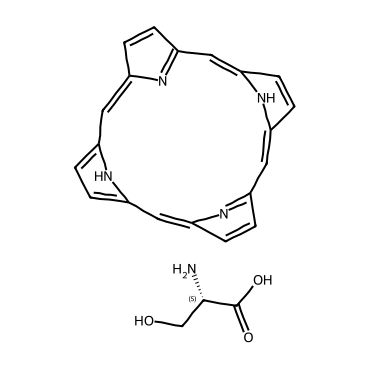 C1=Cc2cc3ccc(cc4nc(cc5ccc(cc1n2)[nH]5)C=C4)[nH]3.N[C@@H](CO)C(=O)O